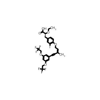 CCO[C@@H](Cc1ccc(OCC=C(C)C#Cc2cc(OCC(F)(F)F)cc(OCC(F)(F)F)c2)c(I)c1)C(=O)O